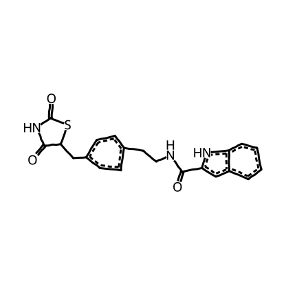 O=C1NC(=O)C(Cc2ccc(CCNC(=O)c3cc4ccccc4[nH]3)cc2)S1